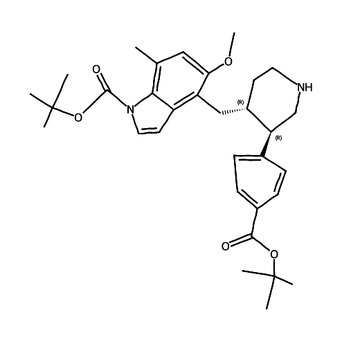 COc1cc(C)c2c(ccn2C(=O)OC(C)(C)C)c1C[C@@H]1CCNC[C@H]1c1ccc(C(=O)OC(C)(C)C)cc1